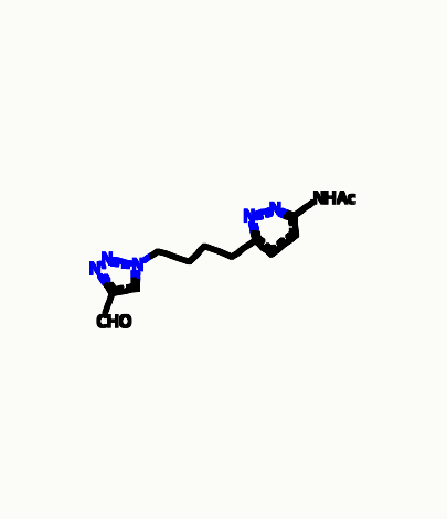 CC(=O)Nc1ccc(CCCCn2cc(C=O)nn2)nn1